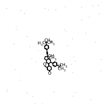 CN(C)c1ccc(C2CC3(C)C(CCC3(O)C#Cc3ccc(C(C)(C)C)cc3)C3OCC4=CC(=O)CCC4=C23)cc1